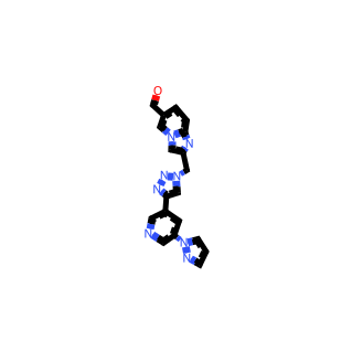 O=Cc1ccc2nc(Cn3cc(-c4cncc(-n5cccn5)c4)nn3)cn2c1